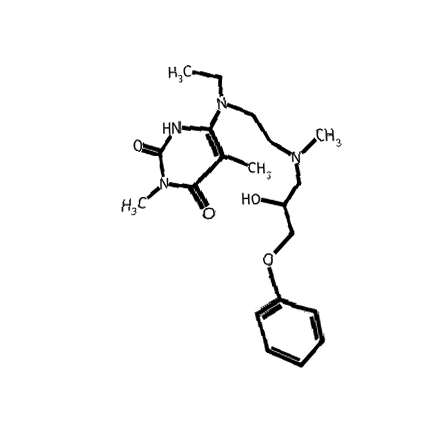 CCN(CCN(C)CC(O)COc1ccccc1)c1[nH]c(=O)n(C)c(=O)c1C